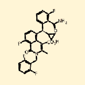 Cc1c(C(=O)O)c2c([C@@H](c3cccc(F)c3C(N)=O)C3CC3)ccc(F)c2c(=O)n1Cc1c(F)cccc1F